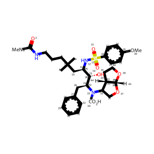 CNC(=O)NCCCC(C)(C)C[C@@H](NS(=O)(=O)c1ccc(OC)cc1)[C@H](O)[C@H](Cc1ccccc1)N(C(=O)O)C1CO[C@H]2OCC[C@@H]12